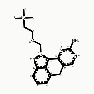 C[Si](C)(C)CCOCn1nc2cccc3c2c1-c1nc(N)ncc1C3